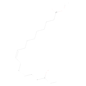 CCC(O)/C=C/C=C\C/C=C\CCCCCCCC(=O)OC